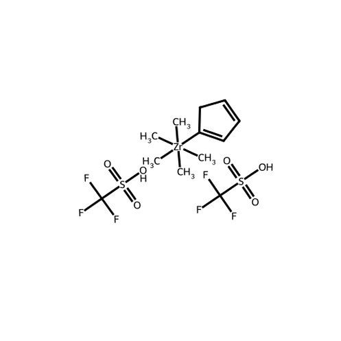 O=S(=O)(O)C(F)(F)F.O=S(=O)(O)C(F)(F)F.[CH3][Zr]([CH3])([CH3])([CH3])([CH3])[C]1=CC=CC1